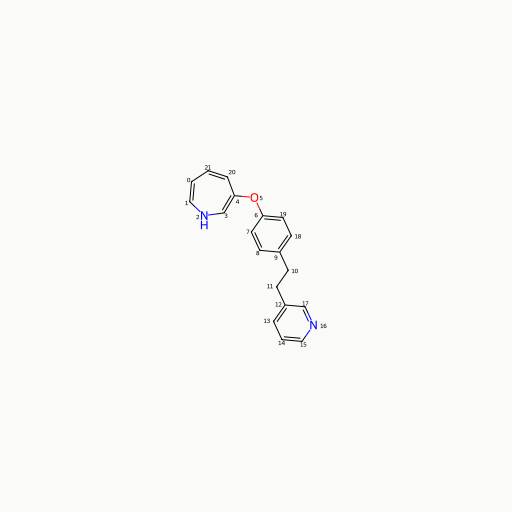 C1=CNC=C(Oc2ccc(CCc3cccnc3)cc2)C=C1